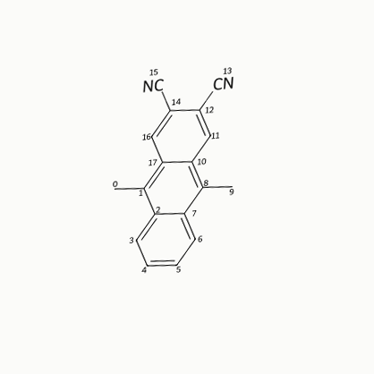 Cc1c2ccccc2c(C)c2cc(C#N)c(C#N)cc12